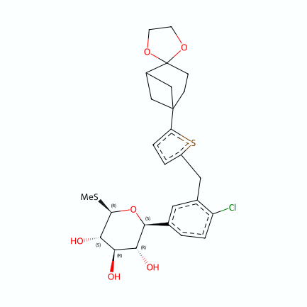 CS[C@H]1O[C@@H](c2ccc(Cl)c(Cc3ccc(C45CCC6(OCCO6)C(C4)C5)s3)c2)[C@H](O)[C@@H](O)[C@@H]1O